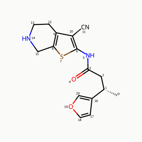 C[C@@H](CC(=O)Nc1sc2c(c1C#N)CCNC2)c1ccoc1